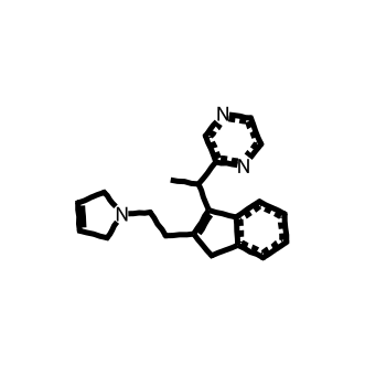 CC(C1=C(CCN2CC=CC2)Cc2ccccc21)c1cnccn1